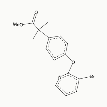 COC(=O)C(C)(C)c1ccc(Oc2ncccc2Br)cc1